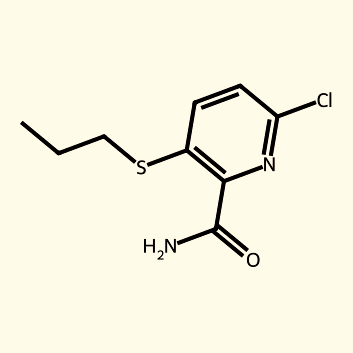 CCCSc1ccc(Cl)nc1C(N)=O